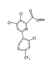 COC(=O)c1nc(-c2ccc(C(F)(F)F)cc2Cl)cc(Cl)c1Cl